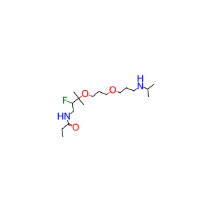 CCC(=O)NCC(F)C(C)(C)OCCCOCCCNC(C)C